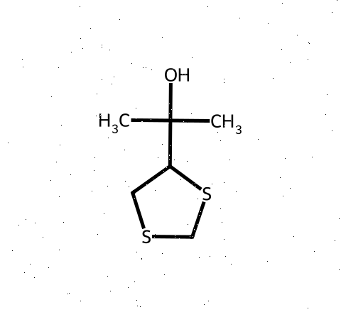 CC(C)(O)C1CSCS1